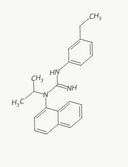 CCc1cccc(NC(=N)N(c2cccc3ccccc23)C(C)C)c1